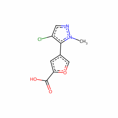 Cn1ncc(Cl)c1-c1coc(C(=O)O)c1